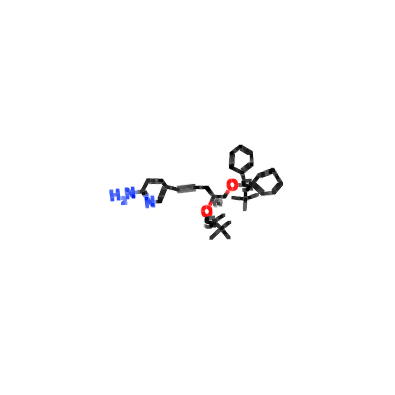 CC(C)(C)[Si](C)(C)O[C@@H](CC#Cc1ccc(N)nc1)CO[Si](c1ccccc1)(c1ccccc1)C(C)(C)C